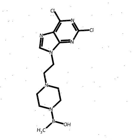 CB(O)N1CCN(CCn2cnc3c(Cl)nc(Cl)nc32)CC1